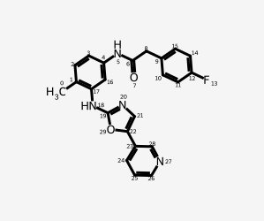 Cc1ccc(NC(=O)Cc2ccc(F)cc2)cc1Nc1ncc(-c2cccnc2)o1